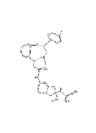 O=C(CN1C(=O)CC(c2ccc(F)cc2)Sc2ccccc21)Nc1ccc2c(c1)CC1(C2)NC(=O)NC1=O